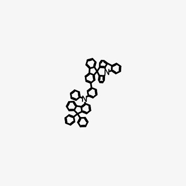 c1ccc(N(c2cccc(-c3ccc4c(c3)C3(c5ccccc5-4)c4ccccc4-n4c5ccccc5c5cccc3c54)c2)c2cccc3c2-c2ccccc2C3(c2ccccc2)c2ccccc2)cc1